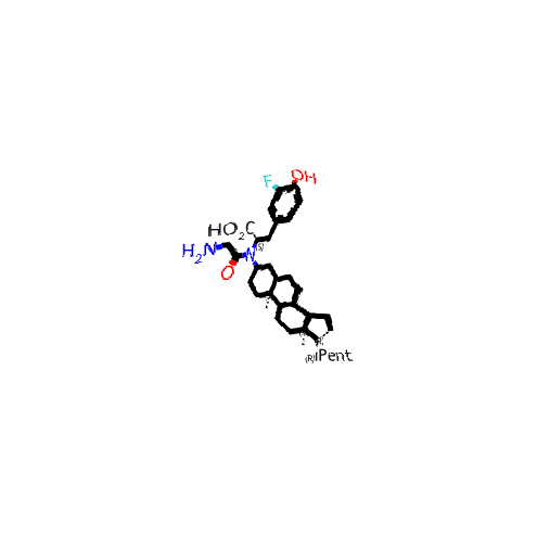 CCC[C@@H](C)[C@H]1CCC2C3CCC4CC(N(C(=O)CN)[C@@H](Cc5ccc(O)c(F)c5)C(=O)O)CC[C@]4(C)C3CC[C@@]21C